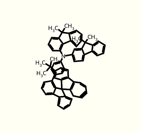 CC(C)(C)c1ccc2c(c1)C1(C3=C2C=CC#CC3)c2ccccc2-c2cccc(-c3ccc(N(c4ccc5c(c4)C(C)(C)c4ccccc4-5)c4cccc5c4-c4ccccc4C5(C)C)cc3)c21